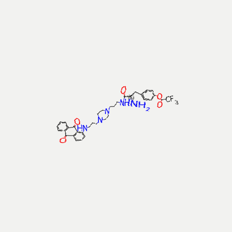 N[C@@H](Cc1ccc(OC(=O)C(F)(F)F)cc1)C(=O)NCCCN1CCN(CCCNc2cccc3c2C(=O)c2ccccc2C3=O)CC1